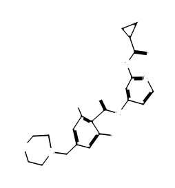 O=C(Nc1ccnc(NC(=O)C2CC2)c1)c1c(Cl)cc(CN2CCOCC2)cc1Cl